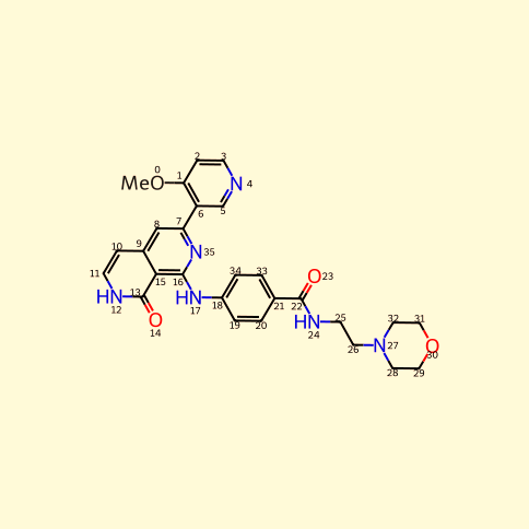 COc1ccncc1-c1cc2cc[nH]c(=O)c2c(Nc2ccc(C(=O)NCCN3CCOCC3)cc2)n1